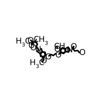 COC(=O)[C@@H](C)CC(=O)N1Cc2cc(OC)c(OCCCOc3cc4c(cc3OC)CN(C(=O)CCC=O)C4)cc2C1